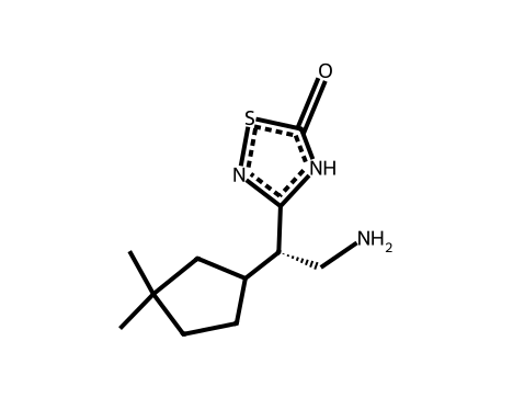 CC1(C)CCC([C@@H](CN)c2nsc(=O)[nH]2)C1